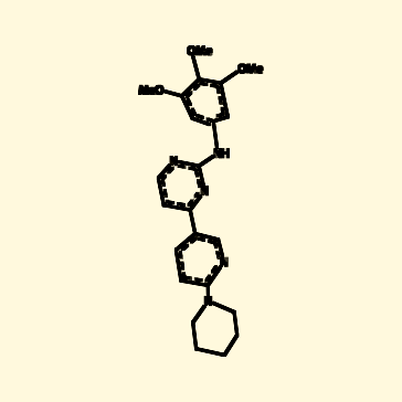 COc1cc(Nc2nccc(-c3ccc(N4CCCCC4)nc3)n2)cc(OC)c1OC